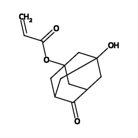 C=CC(=O)OC12CC3CC(O)(CC(C1)C3=O)C2